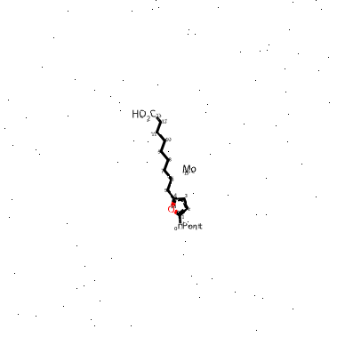 CCCCCc1ccc(CCCCCCCCC(=O)O)o1.[Mo]